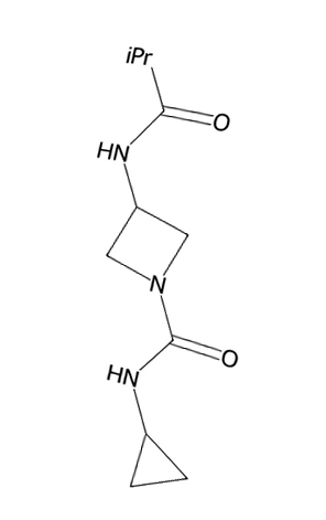 CC(C)C(=O)NC1CN(C(=O)NC2CC2)C1